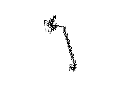 CCCN(Cc1ccc(CN(C)C)nc1C(F)(F)F)C(=O)C1=Cc2sc(CCCCCN(C)CCOCCOCCOCCOCCOCCOCCOCCOCCOCCOCCC(=O)Oc3c(F)c(F)cc(F)c3F)cc2N=C(N)C1